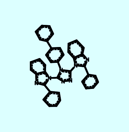 c1ccc(-c2ccc(-n3c(-n4c(-c5ccccc5)nc5ccccc54)nnc3-n3c(-c4ccccc4)nc4ccccc43)cc2)cc1